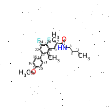 CCCCNC(=O)/C(C)=C/c1c(C)c(-c2ccc(OC)cc2)cc(F)c1F